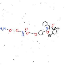 CCc1ccccc1[C@@H]1OC(c2ccc(OCCCOC(=O)NCCOCCOCCN)cc2)=N[C@]1(Cc1ccccc1)C(=O)OC